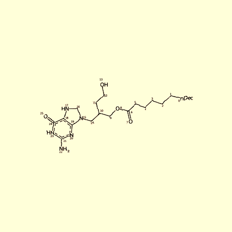 CCCCCCCCCCCCCCCC(=O)OCC(CCO)CN1CNc2c1nc(N)[nH]c2=O